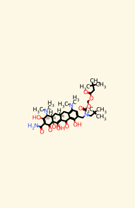 CN(C)c1cc(CN(CC(C)(C)C)C(=O)OCOC(=O)CC(C)(C)C)c(O)c2c1C[C@H]1C[C@H]3[C@H](N(C)C)C(O)=C(C(N)=O)C(=O)[C@@]3(O)C(O)=C1C2=O